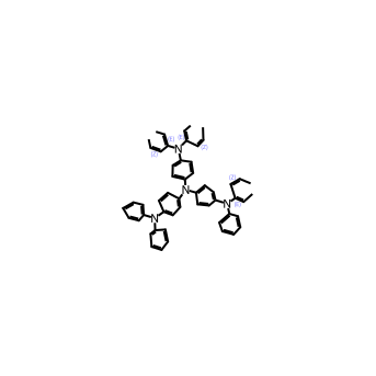 C/C=C\C(=C/C)N(C(/C=C\C)=C/C)c1ccc(N(c2ccc(N(C(/C=C\C)=C/C)c3ccccc3)cc2)c2ccc(N(c3ccccc3)c3ccccc3)cc2)cc1